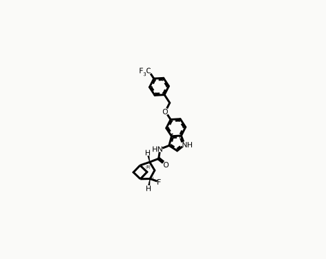 O=C(Nc1c[nH]c2ccc(OCc3ccc(C(F)(F)F)cc3)cc12)[C@@H]1C[C@H](F)C2CC1C2